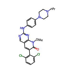 CCCN1CCN(c2ccc(Nc3ncc4cc(-c5c(Cl)cccc5Cl)c(=O)n(OC)c4n3)cc2)CC1